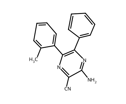 Cc1ccccc1-c1nc(C#N)c(N)nc1-c1ccccc1